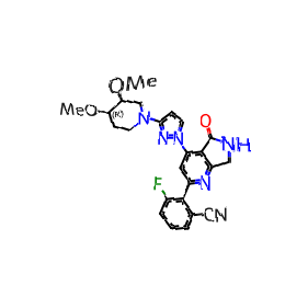 COC1CN(c2ccn(-c3cc(-c4c(F)cccc4C#N)nc4c3C(=O)NC4)n2)CC[C@H]1OC